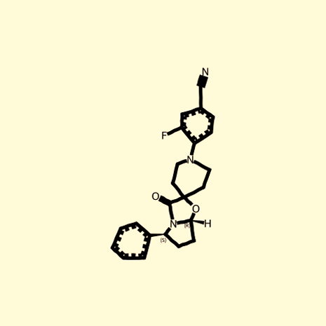 N#Cc1ccc(N2CCC3(CC2)O[C@@H]2CC[C@@H](c4ccccc4)N2C3=O)c(F)c1